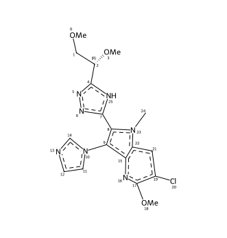 COC[C@H](OC)c1nnc(-c2c(-n3ccnc3)c3nc(OC)c(Cl)cc3n2C)[nH]1